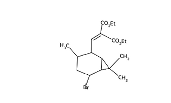 CCOC(=O)C(=CC1C(C)CC(Br)C2C1C2(C)C)C(=O)OCC